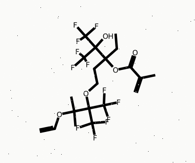 C=COC(C)(C)C(OCCC(CC)(OC(=O)C(=C)C)C(O)(C(F)(F)F)C(F)(F)F)(C(F)(F)F)C(F)(F)F